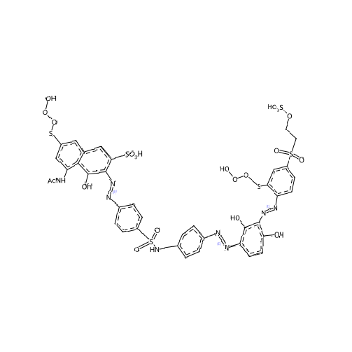 CC(=O)Nc1cc(SOOO)cc2cc(S(=O)(=O)O)c(/N=N/c3ccc(S(=O)(=O)Nc4ccc(/N=N/c5ccc(O)c(/N=N/c6ccc(S(=O)(=O)CCOS(=O)(=O)O)cc6SOOO)c5O)cc4)cc3)c(O)c12